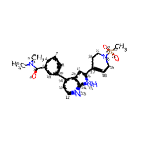 CN(C)C(=O)c1cccc(-c2ccnc3[nH]c(C4=CCN(S(C)(=O)=O)CC4)cc23)c1